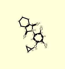 O=C1C2=C(CCCC2)C(=O)N1c1cc(OC2CC2)c(Cl)cc1Cl